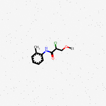 CCOCC(Cl)C(=O)Nc1ccccc1C